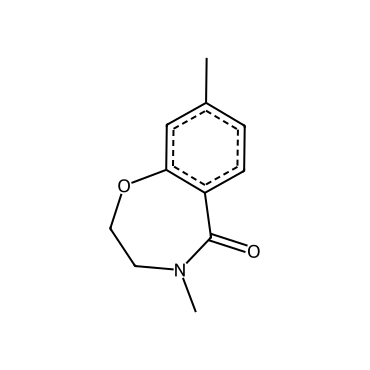 Cc1ccc2c(c1)OCCN(C)C2=O